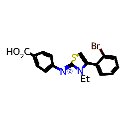 CCn1c(-c2ccccc2Br)cs/c1=N\c1ccc(C(=O)O)cc1